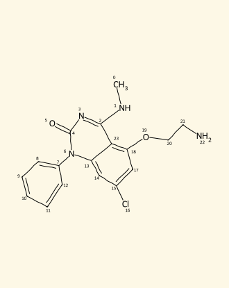 CNc1nc(=O)n(-c2ccccc2)c2cc(Cl)cc(OCCN)c12